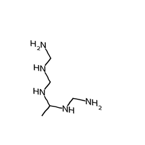 CC(NCN)NCNCN